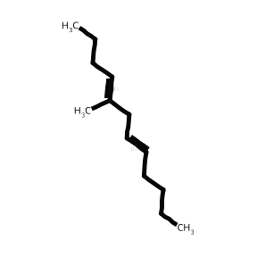 C[CH]C/C=C(\C)C/C=C/CCCC